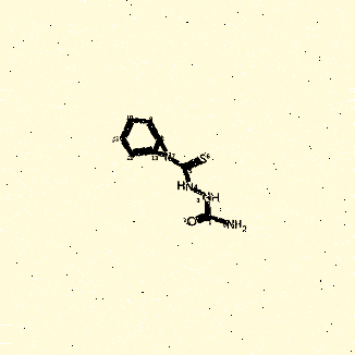 NC(=O)NNC(=S)N1c2ccccc21